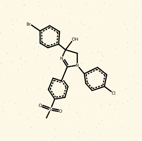 CS(=O)(=O)c1ccc(C2=NC(O)(c3ccc(Br)cc3)CN2c2ccc(Cl)cc2)cc1